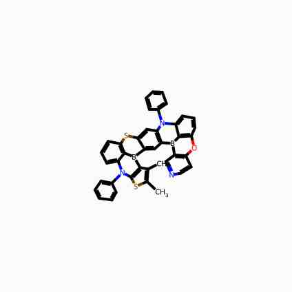 Cc1sc2c(c1C)B1c3cc4c(cc3Sc3cccc(c31)N2c1ccccc1)N(c1ccccc1)c1cccc2c1B4c1cnccc1O2